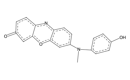 CN(c1ccc(O)cc1)c1ccc2nc3ccc(=O)cc-3oc2c1